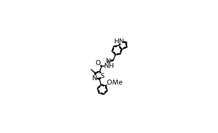 COc1ccccc1-c1nc(C)c(C(=O)N/N=C/c2ccc3[nH]ccc3c2)s1